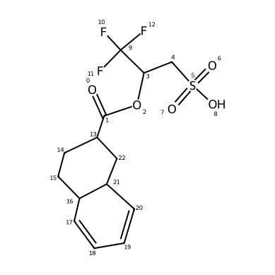 O=C(OC(CS(=O)(=O)O)C(F)(F)F)C1CCC2C=CC=CC2C1